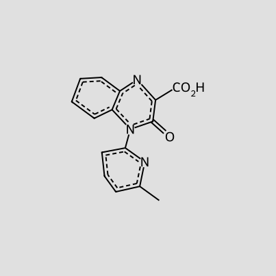 Cc1cccc(-n2c(=O)c(C(=O)O)nc3ccccc32)n1